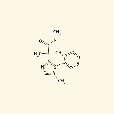 CNC(=O)C(C)(C)n1ncc(C)c1-c1ccccc1